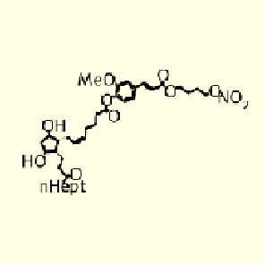 CCCCCCCC(=O)CC[C@@H]1[C@@H](C/C=C\CCCC(=O)Oc2ccc(/C=C/C(=O)OCCCCO[N+](=O)[O-])cc2OC)[C@@H](O)C[C@H]1O